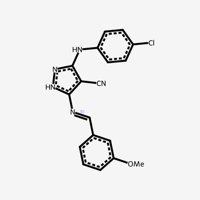 COc1cccc(/C=N/c2[nH]nc(Nc3ccc(Cl)cc3)c2C#N)c1